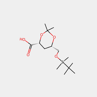 CC1(C)O[C@H](CO[Si](C)(C)C(C)(C)C)C[C@H](C(=O)O)O1